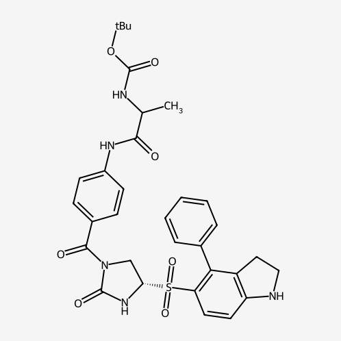 CC(NC(=O)OC(C)(C)C)C(=O)Nc1ccc(C(=O)N2C[C@H](S(=O)(=O)c3ccc4c(c3-c3ccccc3)CCN4)NC2=O)cc1